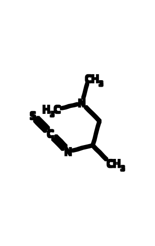 CC(CN(C)C)N=C=S